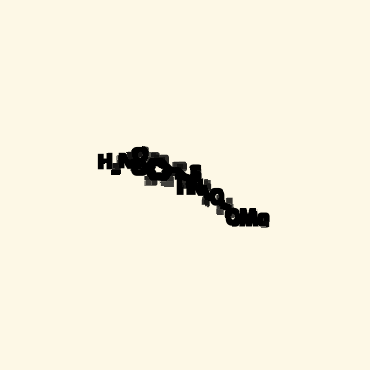 COCCOCCNC(=S)[CH]Cc1ccc(OC(N)=O)cc1